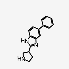 c1ccc(-c2ccc3[nH]c(C4CCNC4)nc3c2)cc1